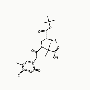 Cc1cn(CC(=O)N(CC(N)C(=O)OC(C)(C)C)C(C)(C)C(=O)O)c(=O)[nH]c1=O